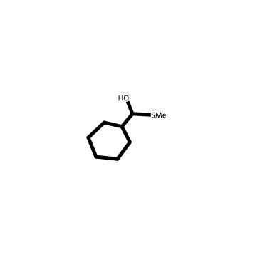 CSC(O)C1CCCCC1